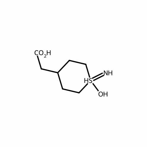 N=[SH]1(O)CCC(CC(=O)O)CC1